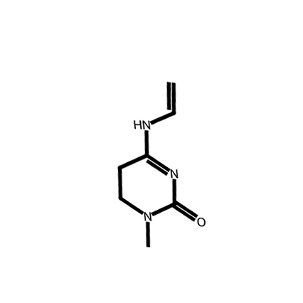 C=CNC1=NC(=O)N(C)CC1